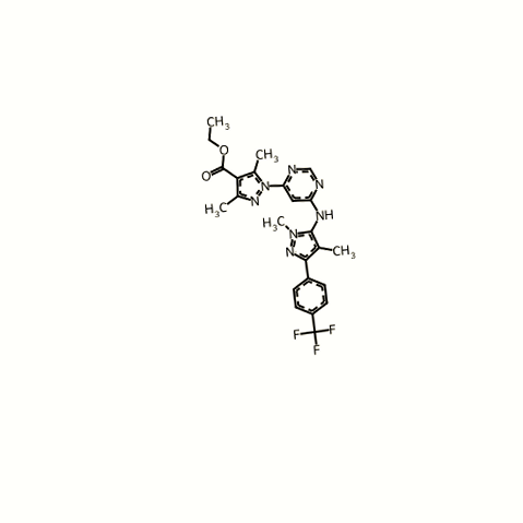 CCOC(=O)c1c(C)nn(-c2cc(Nc3c(C)c(-c4ccc(C(F)(F)F)cc4)nn3C)ncn2)c1C